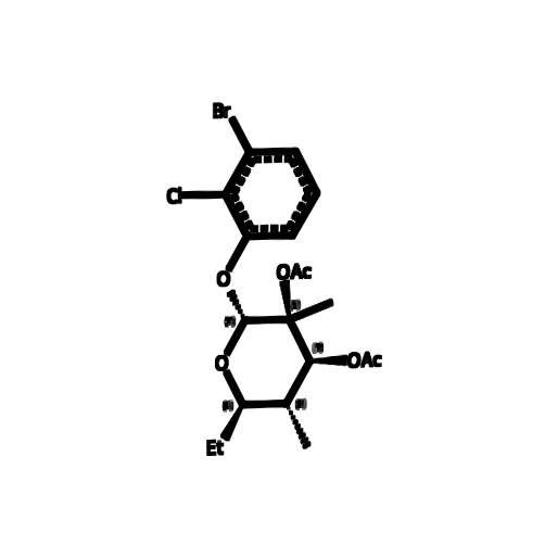 CC[C@H]1O[C@H](Oc2cccc(Br)c2Cl)[C@@](C)(OC(C)=O)[C@@H](OC(C)=O)[C@@H]1C